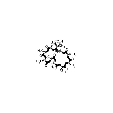 CNCC(=O)N(C)CC(=O)N(C)CC(=O)N(C)CC(=O)N(C)CC(=O)N(C)CC(=O)N(C)CC(=O)N(C)CC(=O)N(C)CC(=O)N(C)CC(=O)O